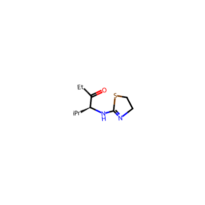 CCC(=O)[C@@H](NC1=NCCS1)C(C)C